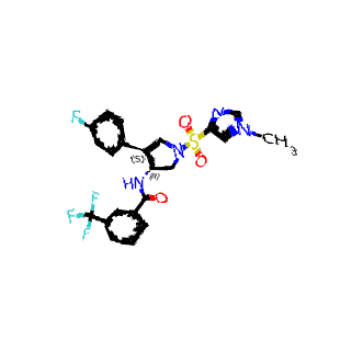 Cn1cnc(S(=O)(=O)N2C[C@H](NC(=O)c3cccc(C(F)(F)F)c3)[C@@H](c3ccc(F)cc3)C2)c1